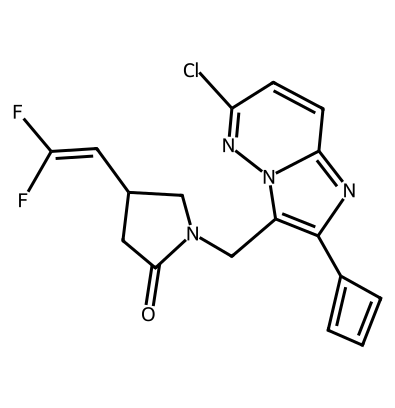 O=C1CC(C=C(F)F)CN1Cc1c(C2=CC=C2)nc2ccc(Cl)nn12